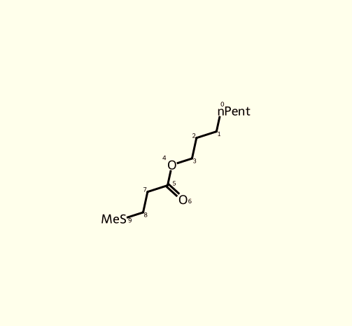 CCCCCCCCOC(=O)CCSC